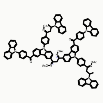 CC(=O)ON=C(CC(C)n1c2ccccc2c2ccccc21)c1ccc(-n2c3ccc(C(=O)c4ccc(-n5c6ccccc6c6ccccc65)cc4)cc3c3cc(/C(C/C(=N/OC(C)=O)c4ccc5c(c4)c4cc(C(=O)c6ccc(-n7c8ccccc8c8ccccc87)cc6)ccc4n5-c4ccc(C(CC(C)n5c6ccccc6c6ccccc65)=NOC(C)=O)cc4)=N\OC(C)=O)ccc32)cc1